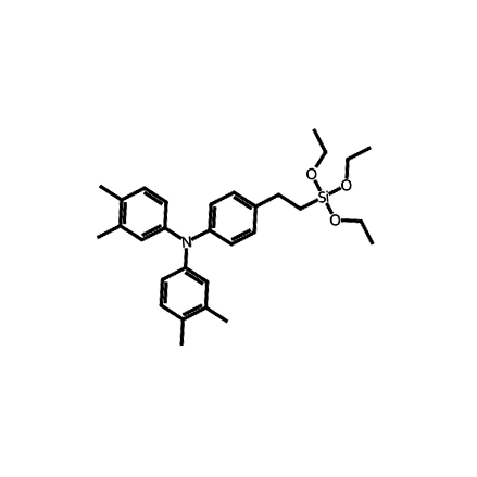 CCO[Si](CCc1ccc(N(c2ccc(C)c(C)c2)c2ccc(C)c(C)c2)cc1)(OCC)OCC